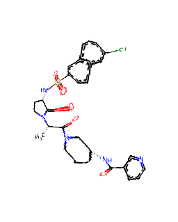 C[C@@H](C(=O)N1CCC[C@@H](NC(=O)c2cccnc2)C1)N1CC[C@H](NS(=O)(=O)c2ccc3cc(Cl)ccc3c2)C1=O